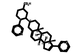 C[C@]12CC[C@H](C3CC(C(=O)O)CCN3c3cccnc3)CC1=CC[C@@H]1[C@@H]2CC[C@]2(C)C(c3cccnc3)=CC[C@@H]12